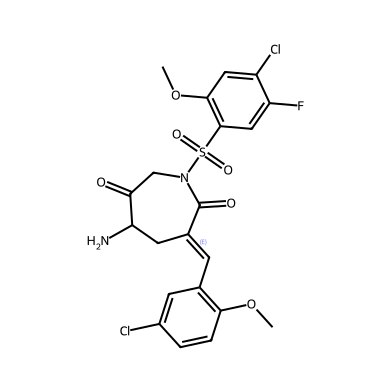 COc1ccc(Cl)cc1/C=C1\CC(N)C(=O)CN(S(=O)(=O)c2cc(F)c(Cl)cc2OC)C1=O